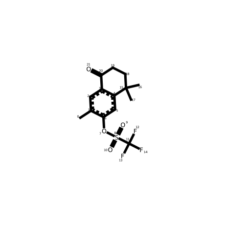 Cc1cc2c(cc1OS(=O)(=O)C(F)(F)F)C(C)(C)CCC2=O